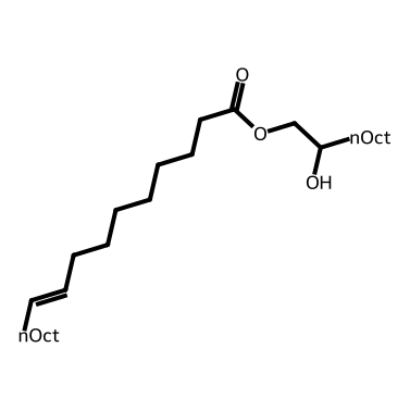 CCCCCCCCC=CCCCCCCCC(=O)OCC(O)CCCCCCCC